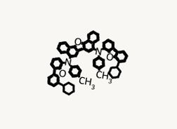 Cc1ccc(N(c2cc3c4cc(N(c5ccc(C)cc5)c5cccc6c5oc5c(C7CCCCC7)cccc56)c5ccccc5c4oc3c3ccccc23)c2cccc3c2oc2c(C4CCCCC4)cccc23)cc1